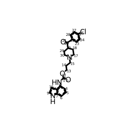 O=C(Nc1cccc2[nH]ccc12)OCCCN1CCC(C(=O)c2ccc(Cl)cc2)CC1